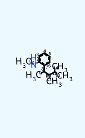 CNc1ccccc1C(C)[C@@H](C)C(C)C